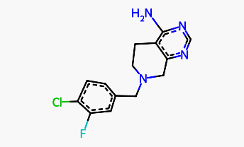 Nc1ncnc2c1CCN(Cc1ccc(Cl)c(F)c1)C2